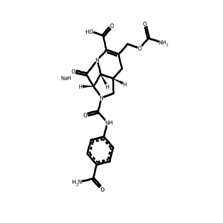 NC(=O)OCC1=C(C(=O)O)N2C(=O)[C@@H]3[C@H]2[C@H](C1)CN3C(=O)Nc1ccc(C(N)=O)cc1.[NaH]